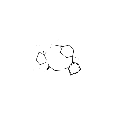 C[C@@H]1C[C@H](N)[C@@H]2CO[C@H]3CC[C@H](CC3)c3ccccc3OCC(=O)N12